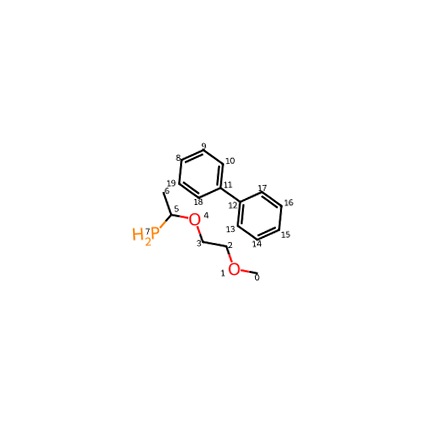 COCCOC(C)P.c1ccc(-c2ccccc2)cc1